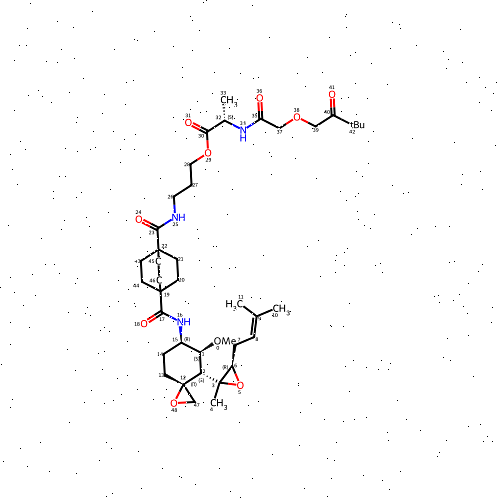 CO[C@H]1[C@H](C2(C)O[C@@H]2CC=C(C)C)[C@]2(CC[C@H]1NC(=O)C13CCC(C(=O)NCCCOC(=O)[C@H](C)NC(=O)COCC(=O)C(C)(C)C)(CC1)CC3)CO2